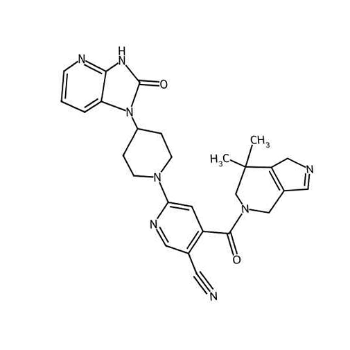 CC1(C)CN(C(=O)c2cc(N3CCC(n4c(=O)[nH]c5ncccc54)CC3)ncc2C#N)CC2=C1CN=C2